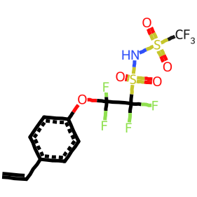 C=Cc1ccc(OC(F)(F)C(F)(F)S(=O)(=O)NS(=O)(=O)C(F)(F)F)cc1